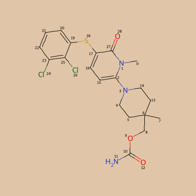 Cn1c(N2CCC(C)(COC(N)=O)CC2)ccc(Sc2cccc(Cl)c2Cl)c1=O